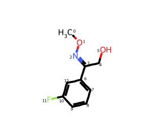 CON=C(CO)c1cccc(F)c1